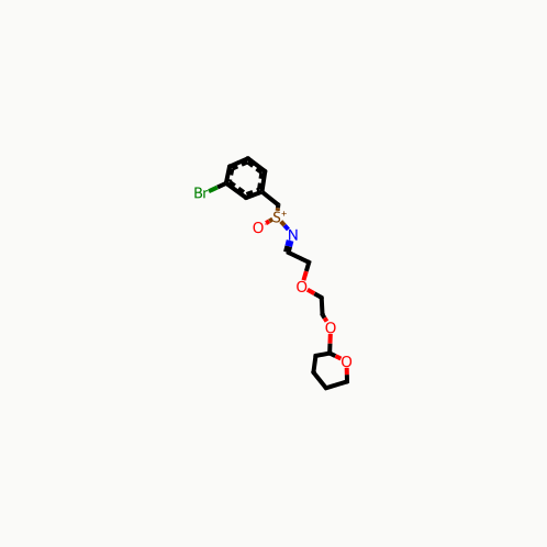 [O-][S+](Cc1cccc(Br)c1)N=CCOCCOC1CCCCO1